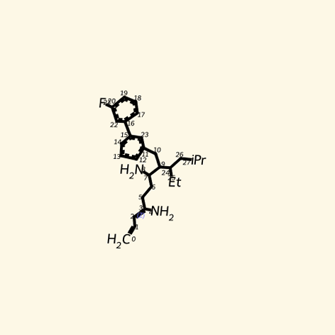 C=C/C=C(\N)CCC(N)C(Cc1cccc(-c2cccc(F)c2)c1)C(CC)CC(C)C